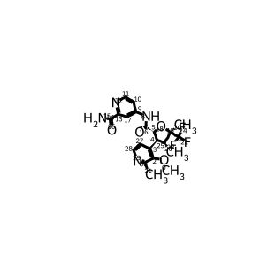 COc1c([C@H]2[C@H](C(=O)Nc3ccnc(C(N)=O)c3)O[C@@](C)(C(F)(F)F)[C@H]2C)ccnc1C